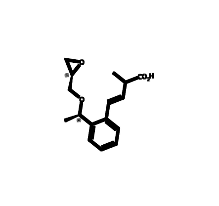 CC(C=Cc1ccccc1[C@@H](C)OC[C@H]1CO1)C(=O)O